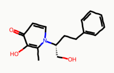 Cc1c(O)c(=O)ccn1[C@@H](CO)CCc1ccccc1